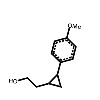 COc1ccc(C2CC2CCO)cc1